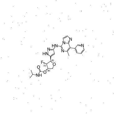 Cc1nc(Nc2cc([C@H]3OC[C@@H](OC(=O)NC(C)C)[C@H]3F)[nH]n2)n2ccnc2c1-c1cccnc1